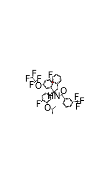 CC(C)Oc1cc([C@@](Cc2ccccc2)(NC(=O)c2cccc(C(F)(F)F)c2)c2cc(F)cc(OC(F)(F)C(F)F)c2)ccc1F